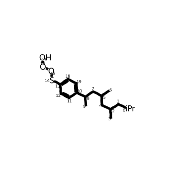 CC(C)CC(C)CC(C)CC(C)c1ccc(SOOO)cc1